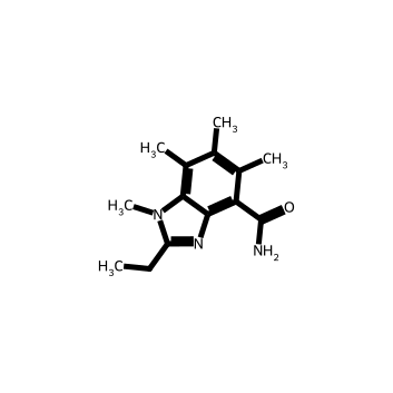 CCc1nc2c(C(N)=O)c(C)c(C)c(C)c2n1C